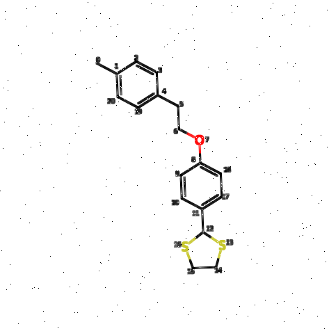 Cc1ccc(CCOc2ccc(C3SCCS3)cc2)cc1